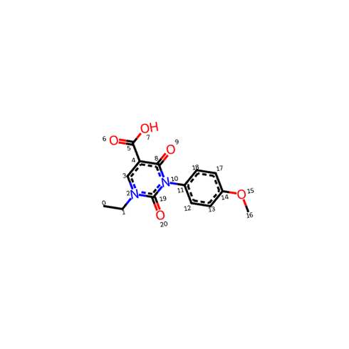 CCn1cc(C(=O)O)c(=O)n(-c2ccc(OC)cc2)c1=O